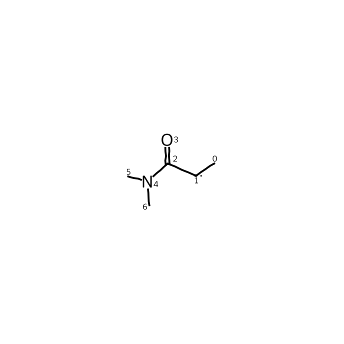 C[CH]C(=O)N(C)C